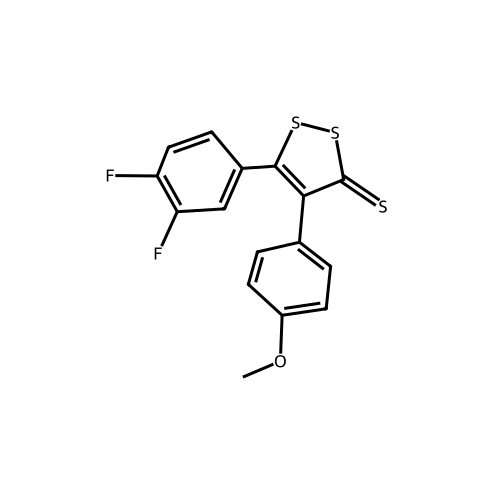 COc1ccc(-c2c(-c3ccc(F)c(F)c3)ssc2=S)cc1